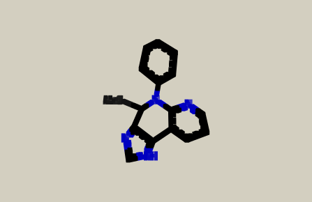 CSC1c2nc[nH]c2-c2cccnc2N1c1ccccc1